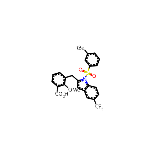 COc1c(Cc2cc3cc(C(F)(F)F)ccc3n2S(=O)(=O)c2cccc(C(C)(C)C)c2)cccc1C(=O)O